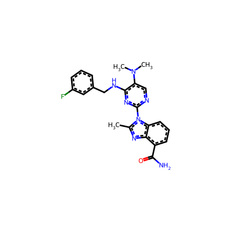 Cc1nc2c(C(N)=O)cccc2n1-c1ncc(N(C)C)c(NCc2cccc(F)c2)n1